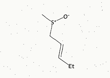 CCC=CC[S+](C)[O-]